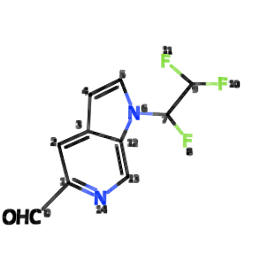 O=Cc1cc2ccn(C(F)C(F)F)c2cn1